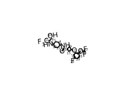 O=C(N[C@H]1CC[C@H](N[C@@H](CO)C(F)(F)F)CC1)[C@H]1C[C@H](Oc2cc(F)ccc2OC(F)F)C1